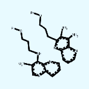 CC(C)OCCCNc1c([N+](=O)[O-])cnc2cccnc12.CC(C)OCCCc1nc2cccnc2c(N)c1N